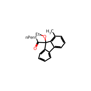 CCCCCC(=O)C1(OCC)c2ccccc2-c2cccc(C)c21